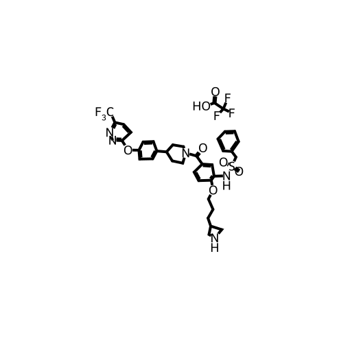 O=C(O)C(F)(F)F.O=C(c1ccc(OCCCC2CNC2)c(NS(=O)(=O)Cc2ccccc2)c1)N1CCC(c2ccc(Oc3ccc(C(F)(F)F)nn3)cc2)CC1